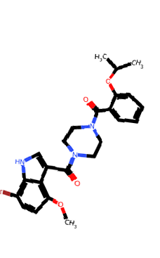 COc1ccc(Br)c2[nH]cc(C(=O)N3CCN(C(=O)c4ccccc4OC(C)C)CC3)c12